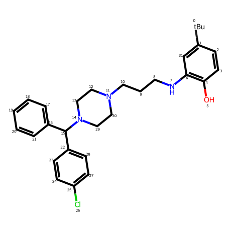 CC(C)(C)c1ccc(O)c(NCCCN2CCN(C(c3ccccc3)c3ccc(Cl)cc3)CC2)c1